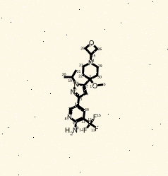 COC1(c2cc(-c3cnc(N)c(C(F)(F)F)c3)nn2C(C)C)CCN(C2COC2)CC1